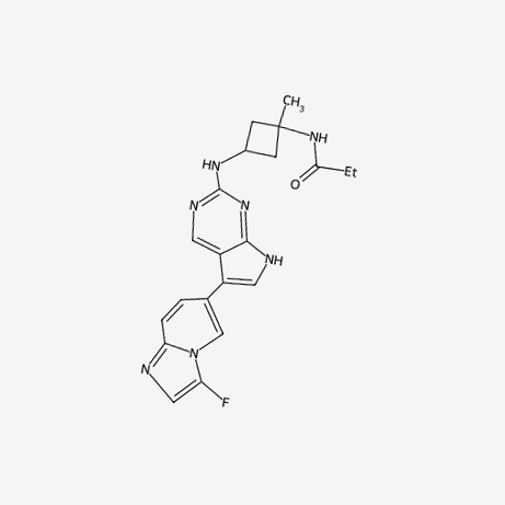 CCC(=O)NC1(C)CC(Nc2ncc3c(-c4ccc5ncc(F)n5c4)c[nH]c3n2)C1